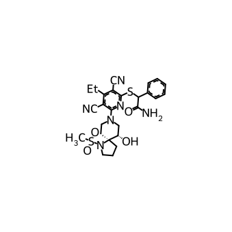 CCc1c(C#N)c(SC(C(N)=O)c2ccccc2)nc(N2CC[C@@]3(CCCN3S(C)(=O)=O)[C@@H](O)C2)c1C#N